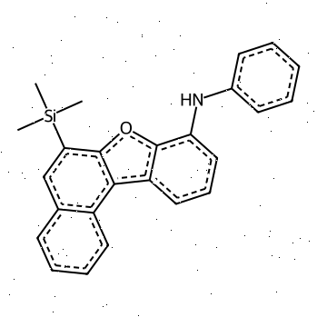 C[Si](C)(C)c1cc2ccccc2c2c1oc1c(Nc3ccccc3)cccc12